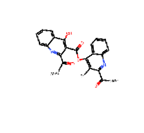 CCc1c(C(=O)OC)nc2ccccc2c1OC(=O)c1c(C(=O)OC)nc2ccccc2c1O